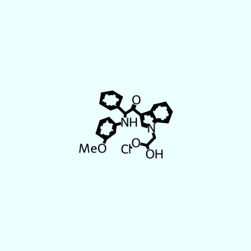 COc1cccc(NC(C(=O)c2cn(CC(O)OCl)c3ccccc23)c2ccccc2)c1